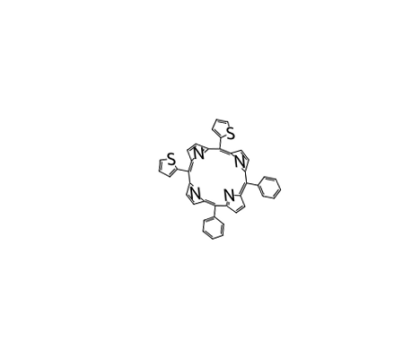 C1=CC2=C(c3ccccc3)C3=NC(=C(c4cccs4)C4=NC(=C(c5cccs5)C5=NC(=C(c6ccccc6)C1=N2)C=C5)C=C4)C=C3